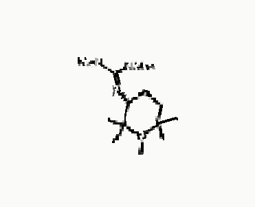 CNC(=NC1CCC(C)(C)N(C)C1(C)C)NC